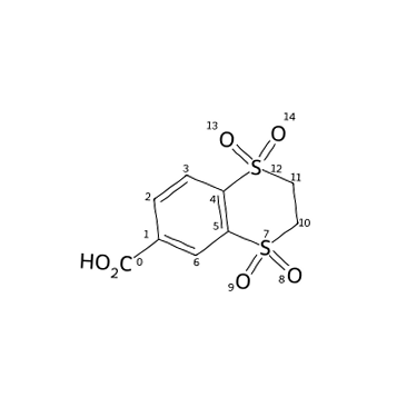 O=C(O)c1ccc2c(c1)S(=O)(=O)CCS2(=O)=O